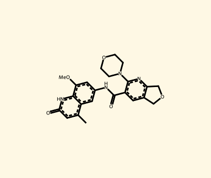 COc1cc(NC(=O)c2cc3c(nc2N2CCOCC2)COC3)cc2c(C)cc(=O)[nH]c12